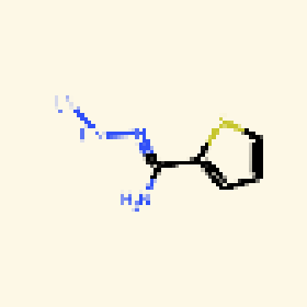 NN/N=C(\N)c1cccs1